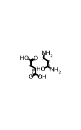 NCCC(N)O.O=C(O)CCC(=O)O